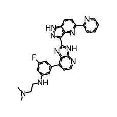 CN(C)CCNc1cc(F)cc(-c2ccnc3[nH]c(-c4n[nH]c5ccc(-c6ccccn6)nc45)nc23)c1